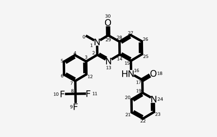 Cn1c(-c2cccc(C(F)(F)F)c2)nc2c(NC(=O)c3ccccn3)cccc2c1=O